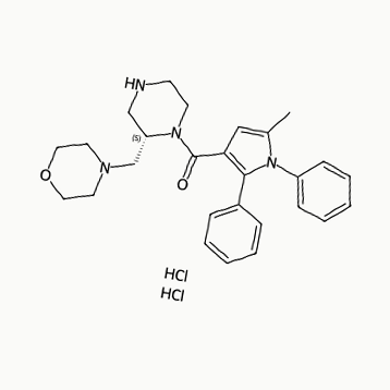 Cc1cc(C(=O)N2CCNC[C@H]2CN2CCOCC2)c(-c2ccccc2)n1-c1ccccc1.Cl.Cl